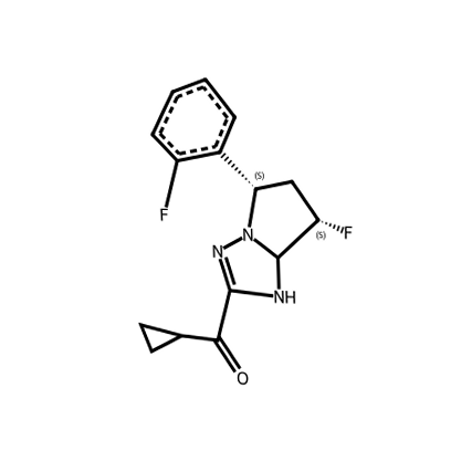 O=C(C1=NN2C(N1)[C@@H](F)C[C@H]2c1ccccc1F)C1CC1